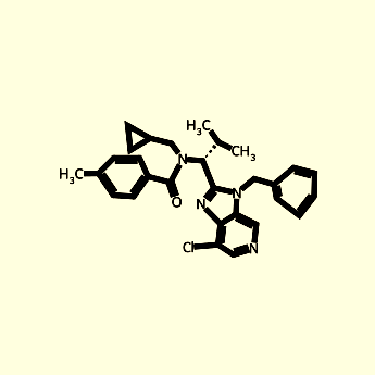 Cc1ccc(C(=O)N(CC2CC2)[C@@H](c2nc3c(Cl)cncc3n2Cc2ccccc2)C(C)C)cc1